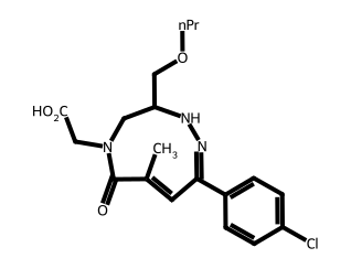 CCCOCC1CN(CC(=O)O)C(=O)/C(C)=C/C(c2ccc(Cl)cc2)=N\N1